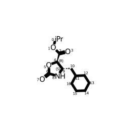 CC(C)OC(=O)[C@@H]1OC(=O)N[C@H]1CC1CCCCC1